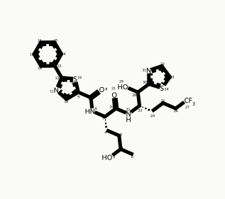 CC(O)CC[C@H](NC(=O)c1cnc(-c2ccccc2)s1)C(=O)N[C@@H](CCCC(F)(F)F)C(O)c1nccs1